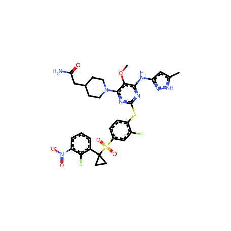 COc1c(Nc2cc(C)[nH]n2)nc(Sc2ccc(S(=O)(=O)C3(c4cccc([N+](=O)[O-])c4F)CC3)cc2F)nc1N1CCC(CC(N)=O)CC1